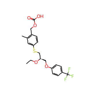 CCO[C@H](COc1ccc(C(F)(F)F)cc1)CSc1ccc(COC(=O)O)c(C)c1